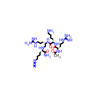 CC(=O)N[C@@H](CCCNC(=N)N)C(=O)N[C@@H](CCCCN)C(=O)N[C@@H](CCCNC(=N)N)CN[C@@H](CCCCN=[N+]=[N-])C(N)=O